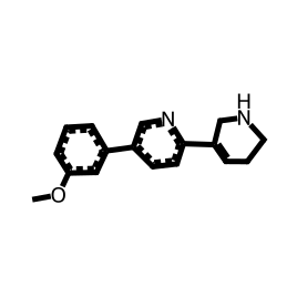 COc1cccc(-c2ccc(C3=CCCNC3)nc2)c1